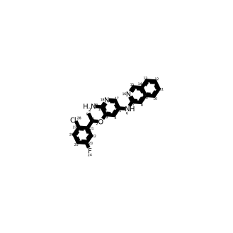 CC(Oc1cc(Nc2cc3ccccc3cn2)cnc1N)c1cc(F)ccc1Cl